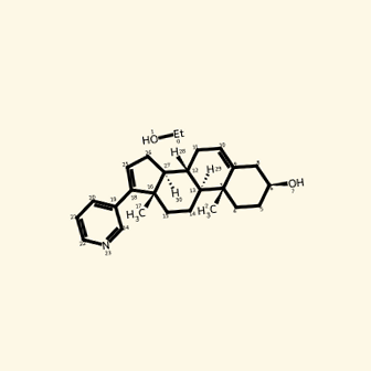 CCO.C[C@]12CC[C@H](O)CC1=CC[C@@H]1[C@@H]2CC[C@]2(C)C(c3cccnc3)=CC[C@@H]12